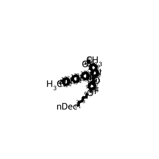 CCCCCCCCCCCCCCCCOc1ccc(S(=O)(=O)c2cnc3ccc([S+](C)[O-])cc3c2N2CCC(N3CCC(N4CCN(C)CC4)CC3)CC2)cc1F